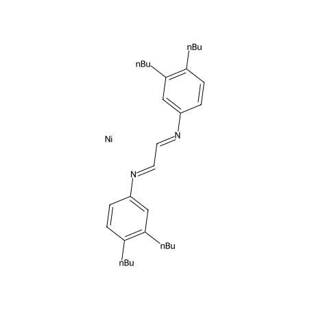 CCCCc1ccc(N=CC=Nc2ccc(CCCC)c(CCCC)c2)cc1CCCC.[Ni]